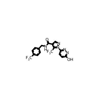 O=C(NCc1ccc(C(F)(F)F)cc1)c1cnn(-c2ccc(O)nn2)c1C(F)(F)F